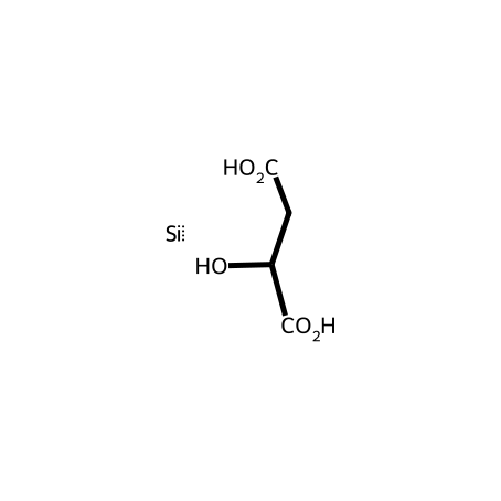 O=C(O)CC(O)C(=O)O.[Si]